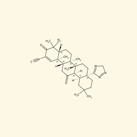 [C-]#[N+]C1=C[C@]2(C)[C@H]3CC(=O)[C@@H]4[C@@H]5CC(C)(C)CC[C@]5(C5=NCN=N5)CC[C@@]4(C)[C@]3(C)CC[C@H]2C(C)(C)C1=O